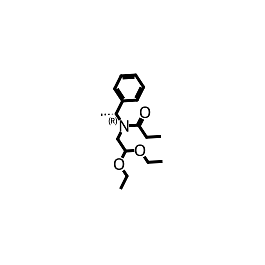 CCOC(CN(C(=O)CC)[C@H](C)c1ccccc1)OCC